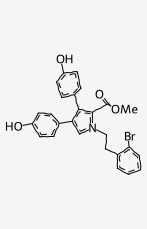 COC(=O)c1c(-c2ccc(O)cc2)c(-c2ccc(O)cc2)cn1CCc1ccccc1Br